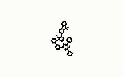 CC1(C)c2ccccc2-c2ccc(-c3cccc4c3oc3cccc(-c5cccc(-c6nc(-c7ccccc7)nc(-c7ccccc7)n6)c5)c34)cc21